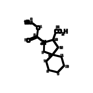 CC(C)(C)OC(=O)N1CC2(CCCCC2)CC1C(=O)O